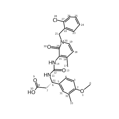 COc1ccc([C@H](CC(=O)O)NC(=O)Nc2c(C)ccn(Cc3ccccc3Cl)c2=O)cc1C